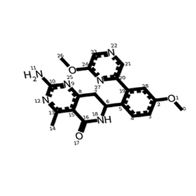 COc1ccc(C2Cc3nc(N)nc(C)c3C(=O)N2)c(-c2cncc(OC)n2)c1